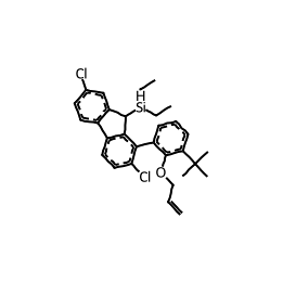 C=CCOc1c(-c2c(Cl)ccc3c2C([SiH](CC)CC)c2cc(Cl)ccc2-3)cccc1C(C)(C)C